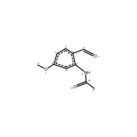 COc1ccc(C=O)c(NC(C)=O)c1